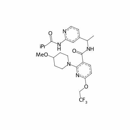 COC1CCN(c2nc(OCC(F)(F)F)ccc2C(=O)NC(C)c2ccnc(NC(=O)C(C)C)c2)CC1